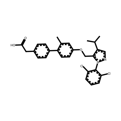 Cc1cc(OCc2c(C(C)C)cnn2-c2c(Cl)cccc2Cl)ccc1-c1ccc(CC(=O)O)cc1